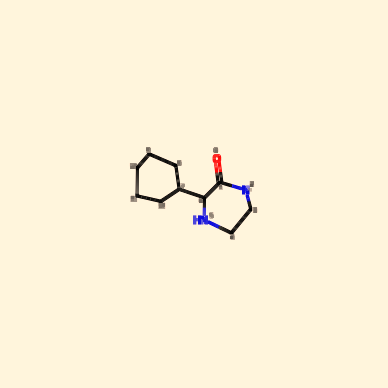 O=C1[N]CCNC1C1CCCCC1